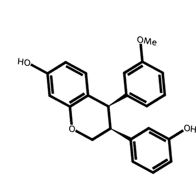 COc1cccc([C@@H]2c3ccc(O)cc3OC[C@@H]2c2cccc(O)c2)c1